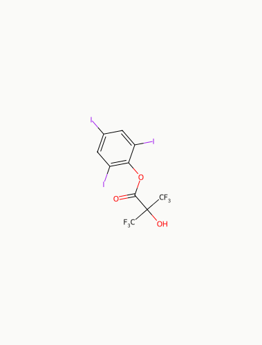 O=C(Oc1c(I)cc(I)cc1I)C(O)(C(F)(F)F)C(F)(F)F